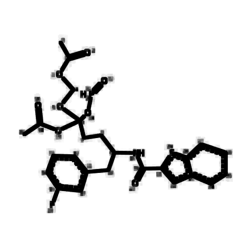 CC(=O)OCOC(CCC(Cc1cccc(F)c1)NC(=O)c1cc2ccccc2s1)(O[PH2]=O)OC(C)=O